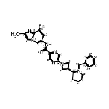 Cc1cn2cc(NC(=O)c3cnc(N4CC(C5CCCCN5Cc5ccccc5)C4)cn3)cc(F)c2n1